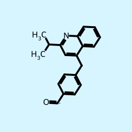 CC(C)c1cc(Cc2ccc([C]=O)cc2)c2ccccc2n1